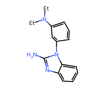 CCN(CC)c1cc[c]c(-n2c(N)nc3ccccc32)c1